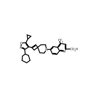 O=C(O)c1cc(C(F)(F)F)c2cc(N3CCC4(C=C(c5c(C6CCCCC6)noc5C5CC5)C4)CC3)ccc2n1